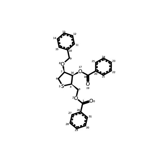 O=C(OC[C@H]1SC[C@@H](OCc2ccccc2)[C@H]1OC(=O)c1ccccc1)c1ccccc1